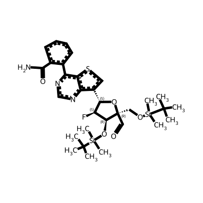 CC(C)(C)[Si](C)(C)OC[C@@]1(C=O)O[C@@H](c2csc3c(-c4ccccc4C(N)=O)ncnc23)[C@H](F)[C@@H]1O[Si](C)(C)C(C)(C)C